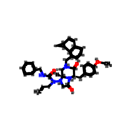 C=CCN(C(=O)NCc1ccccc1)N1CC(=O)N2[C@@H](Cc3ccc(OC)cc3)C(=O)N(Cc3cccc4c3C3CC3C=C4)C[C@@H]21